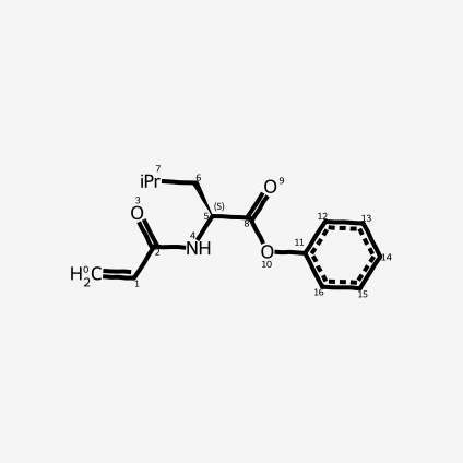 C=CC(=O)N[C@@H](CC(C)C)C(=O)Oc1ccccc1